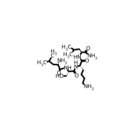 CC(C)C[C@H](NC(=O)[C@H](CCCCN)NC(=O)[C@H](CO)NC(=O)[C@@H](N)CC(C)C)C(N)=O